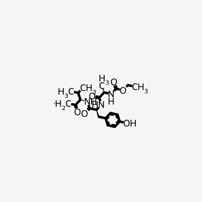 [CH2]C(=O)[C@@H](NC(=O)[C@H](Cc1ccc(O)cc1)NC(=O)[C@H](C)NC(=O)OCC)C(C)C